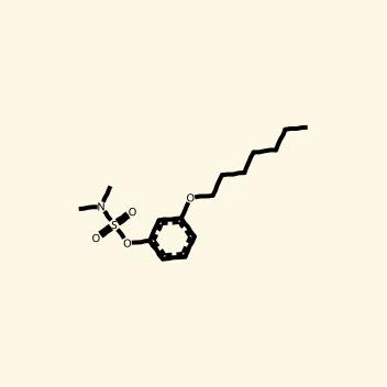 CCCCCCCOc1cccc(OS(=O)(=O)N(C)C)c1